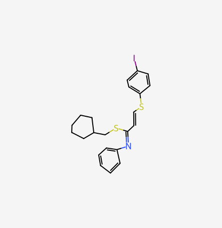 Ic1ccc(SC=CC(=Nc2ccccc2)SCC2CCCCC2)cc1